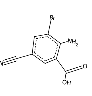 N#Cc1cc(Br)c(N)c(C(=O)O)c1